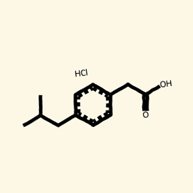 CC(C)Cc1ccc(CC(=O)O)cc1.Cl